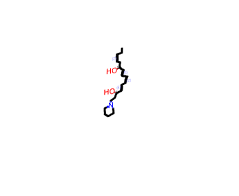 CC/C=C\C[C@H](O)/C=C/C=C\C=C\[C@@H](O)CCN1CCCCC1